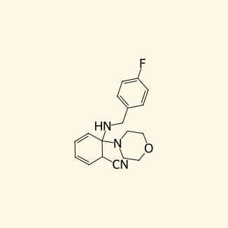 N#CC1C=CC=CC1(NCc1ccc(F)cc1)N1CCOCC1